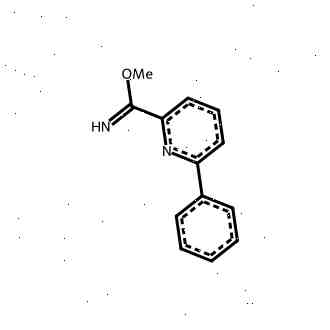 COC(=N)c1cccc(-c2ccccc2)n1